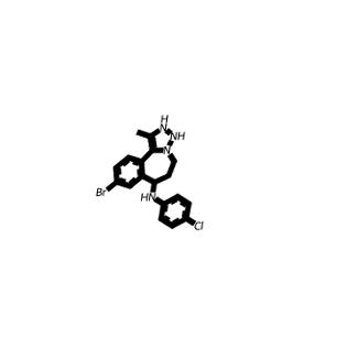 CC1=C2c3ccc(Br)cc3C(Nc3ccc(Cl)cc3)CCN2NN1